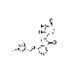 Cc1cc(COc2cccc3c2CN(C2CCC(=O)NC2=O)C3=O)on1